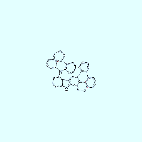 c1ccc(-c2ccccc2-c2cc3c(oc4cccc(N(c5ccccc5)c5ccccc5-c5ccccc5)c43)c3ccccc23)cc1